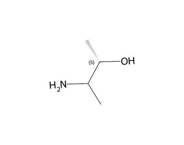 CC(N)[C@H](C)O